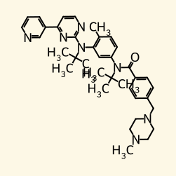 Cc1ccc(N(C(=O)c2ccc(CN3CCN(C)CC3)cc2)C(C)(C)C)cc1N(c1nccc(-c2cccnc2)n1)C(C)(C)C